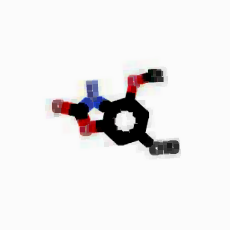 CCOc1cc(C=O)cc2oc(=O)[nH]c12